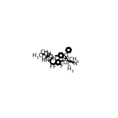 CC(C)(C)OC(=O)N[C@H]1CC(F)(F)c2cc(F)c(-c3nnc(C(C)(C)C#N)o3)cc2N(Cc2ccc(Oc3ccccc3)cc2)C1=O